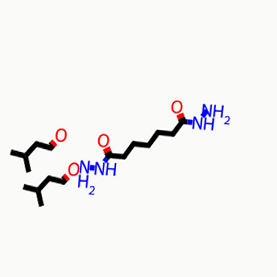 CC(C)CC=O.CC(C)CC=O.NNC(=O)CCCCCC(=O)NN